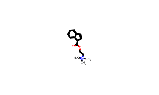 C[N+](C)(C)CCOC(=O)C1C=Cc2ccccc21